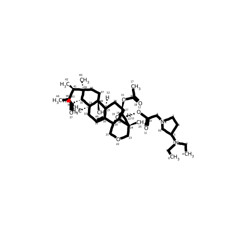 CCN(CC)C1CCN(CC(=O)O[C@H]2[C@H](OC(C)=O)C[C@@]34COC[C@]2(C)[C@@H]3CC[C@H]2C4=CC[C@@]3(C)[C@H](C(=O)O)[C@@](C)([C@H](C)C(C)C)CC[C@]23C)C1